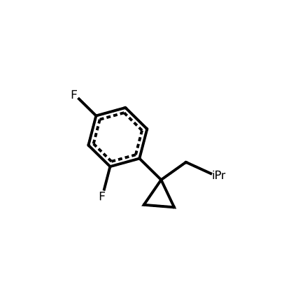 CC(C)CC1(c2ccc(F)cc2F)CC1